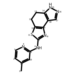 Cc1ccnc(Nc2nc3c(s2)CCc2[nH]ncc2-3)c1